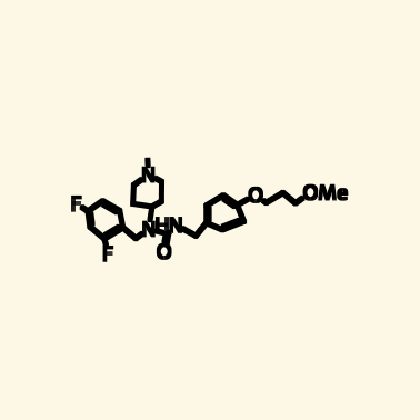 COCCCOc1ccc(CNC(=O)N(Cc2ccc(F)cc2F)C2CCN(C)CC2)cc1